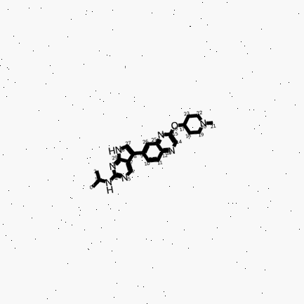 CC(C)Nc1ncc2c(-c3ccc4ncc(OC5CCN(C)CC5)nc4c3)c[nH]c2n1